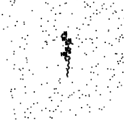 CCCCCCCc1ccc(Nc2nc(-c3sc(-c4cnccn4)nc3C)cs2)cc1